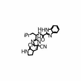 C=C1NCCC1CC1(C#N)CN=C(C(CC(C)C)NC(=O)c2nc3ccccc3[nH]2)N1